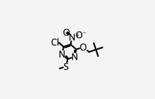 CSc1nc(Cl)c([N+](=O)[O-])c(OCC(C)(C)C)n1